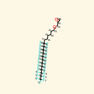 FC(F)(F)C(F)(F)C(F)(F)C(F)(F)C(F)(F)C(F)(F)C(F)(F)C(F)(F)C(F)(F)C(F)(F)C(F)(F)C(F)(F)CCCCCCOCC1CO1